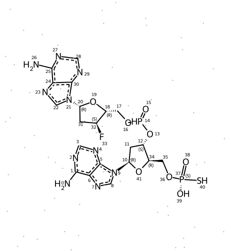 Nc1ncnc2c1ncn2[C@H]1C[C@H](O[PH](=O)OC[C@H]2O[C@@H](n3cnc4c(N)ncnc43)C[C@@H]2F)[C@@H](CO[P@](=O)(O)S)O1